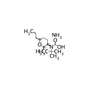 C=CC[C@H]1CC[C@@H](N(C(=O)O)C(C)(C)C)[C@@H](C)O1.N